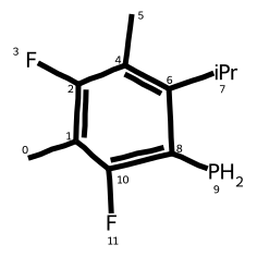 Cc1c(F)c(C)c(C(C)C)c(P)c1F